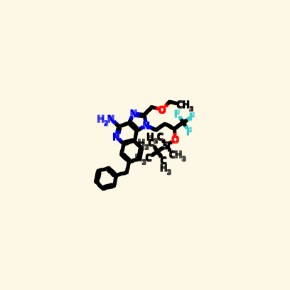 CCOCc1nc2c(N)nc3cc(Cc4ccccc4)ccc3c2n1CCC(O[Si](C)(C)C(C)(C)C)C(F)(F)F